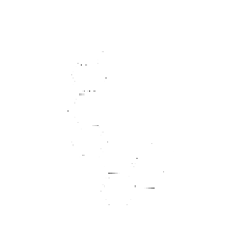 Oc1ccc(Oc2ccc(C3=CC=CN4CCS(O)(O)N=C34)cc2)cc1